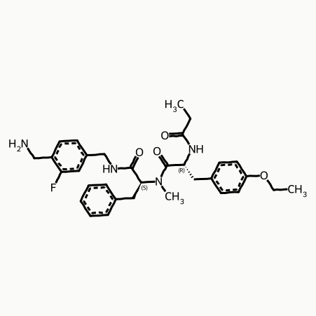 CCOc1ccc(C[C@@H](NC(=O)CC)C(=O)N(C)[C@@H](Cc2ccccc2)C(=O)NCc2ccc(CN)c(F)c2)cc1